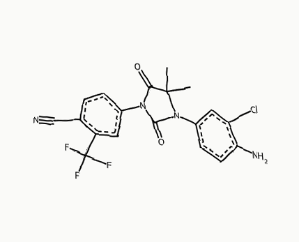 CC1(C)C(=O)N(c2ccc(C#N)c(C(F)(F)F)c2)C(=O)N1c1ccc(N)c(Cl)c1